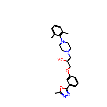 Cc1nnc(-c2cccc(OCC(O)CN3CCN(c4c(C)cccc4C)CC3)c2)o1